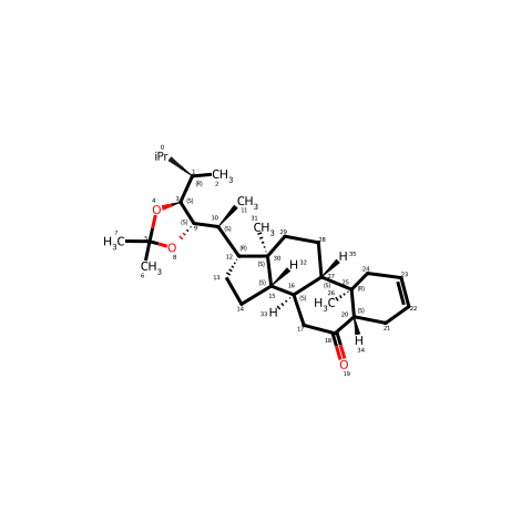 CC(C)[C@@H](C)[C@@H]1OC(C)(C)O[C@H]1[C@@H](C)[C@H]1CC[C@H]2[C@@H]3CC(=O)[C@H]4CC=CC[C@]4(C)[C@H]3CC[C@]12C